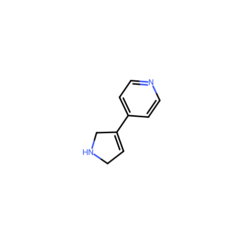 C1=C(c2ccncc2)CNC1